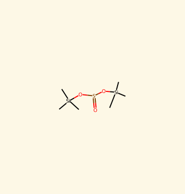 C[Si](C)(C)OS(=O)O[Si](C)(C)C